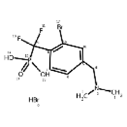 Br.CN(C)Cc1ccc(C(F)(F)P(=O)(O)O)c(Br)c1